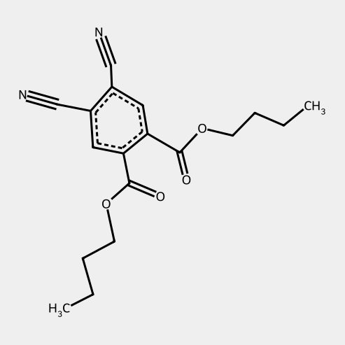 CCCCOC(=O)c1cc(C#N)c(C#N)cc1C(=O)OCCCC